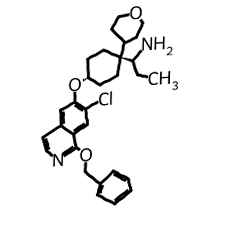 CCC(N)[C@]1(C2CCOCC2)CC[C@@H](Oc2cc3ccnc(OCc4ccccc4)c3cc2Cl)CC1